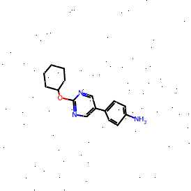 Nc1ccc(-c2cnc(OC3CCCCC3)nc2)cc1